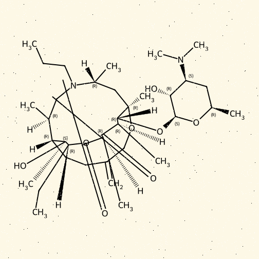 C=C1CC[C@@H]2[C@@H](C)CN(CCC)[C@H](C)C[C@@](C)(OC1)[C@H](O[C@@H]1O[C@H](C)C[C@H](N(C)C)[C@H]1O)[C@@H](C)C(=O)[C@@H](C)C(=O)O[C@H](CC)[C@@]2(C)O